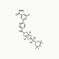 [2H]C([2H])(C1CC(C)(C)OC(C)(C)C1)N1C[C@H]2CC(Nc3ccc(-c4cc(F)cc(C(=O)NC)c4)nn3)C[C@H]2C1